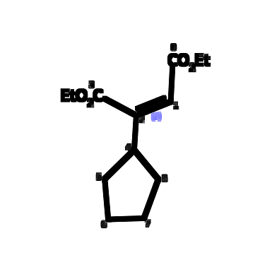 CCOC(=O)/C=C(\C(=O)OCC)C1CCCC1